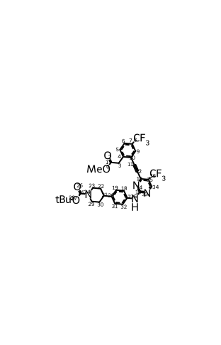 COC(=O)Cc1ccc(C(F)(F)F)cc1C#Cc1nc(Nc2ccc(C3CCN(C(=O)OC(C)(C)C)CC3)cc2)ncc1C(F)(F)F